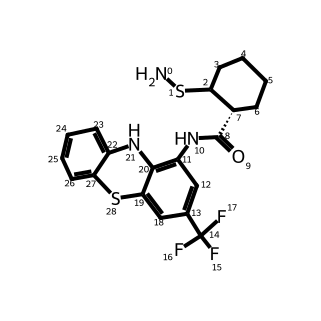 NSC1CCCC[C@@H]1C(=O)Nc1cc(C(F)(F)F)cc2c1Nc1ccccc1S2